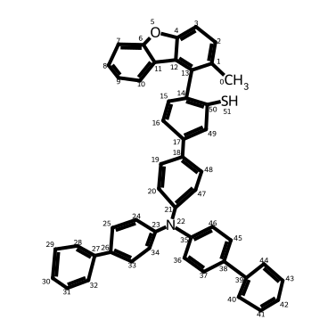 Cc1ccc2oc3ccccc3c2c1-c1ccc(-c2ccc(N(c3ccc(-c4ccccc4)cc3)c3ccc(-c4ccccc4)cc3)cc2)cc1S